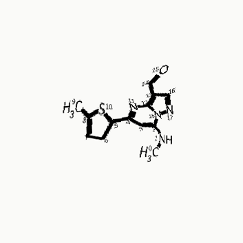 CNc1cc(C2CC=C(C)S2)nc2c(C=O)cnn12